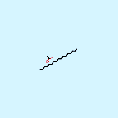 [CH2]CCCCCCC=CCC(CCCCCC)OC(C)=O